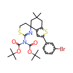 CC1(C)Cc2sc(-c3cccc(Br)c3)cc2C2(CCSC(N(C(=O)OC(C)(C)C)C(=O)OC(C)(C)C)=N2)C1